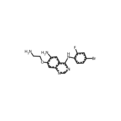 NCCOc1cc2ncnc(Nc3ccc(Br)cc3F)c2cc1N